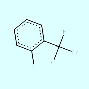 Clc1ccccc1C(Br)(Br)Br